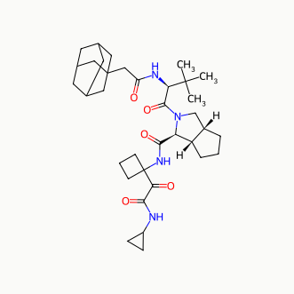 CC(C)(C)[C@H](NC(=O)CC12CC3CC(CC(C3)C1)C2)C(=O)N1C[C@@H]2CCC[C@@H]2[C@H]1C(=O)NC1(C(=O)C(=O)NC2CC2)CCC1